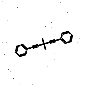 CC(C)(C#Cc1ccccc1)C#Cc1ccccc1